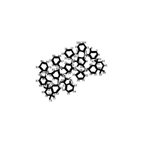 Cc1ccccc1N(c1cc2c3c(c1)N(c1ccccc1)c1cc4c(cc1[SH]3c1ccccc1N2c1ccc2c(c1)C(C)(C)CCC2(C)C)[SH]1c2sc3ccccc3c2N(c2ccc3c(c2)C(C)(C)CCC3(C)C)c2cc(N(c3ccccc3C)c3ccccc3C)cc(c21)N4c1ccccc1)c1ccccc1C